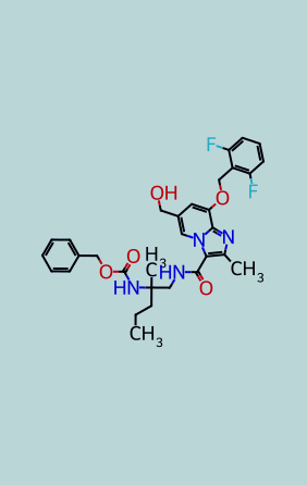 CCCC(C)(CNC(=O)c1c(C)nc2c(OCc3c(F)cccc3F)cc(CO)cn12)NC(=O)OCc1ccccc1